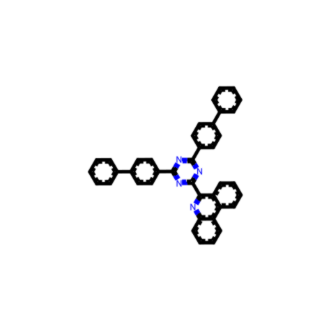 c1ccc(-c2ccc(-c3nc(-c4ccc(-c5ccccc5)cc4)nc(-c4nc5ccccc5c5ccccc45)n3)cc2)cc1